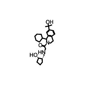 CC(C)(O)c1ccc2c(c1)C(C1CCCCC1)N(C(=O)CNC[C@@H]1CCC[C@@H]1O)CC2